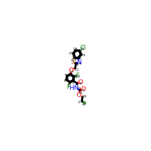 O=C(NC(=O)c1c(F)ccc(OCc2nc3cc(Cl)ccc3s2)c1F)OCCF